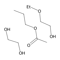 CCCOC(C)=O.CCOCCO.OCCO